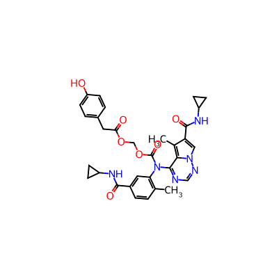 Cc1ccc(C(=O)NC2CC2)cc1N(C(=O)OCOC(=O)Cc1ccc(O)cc1)c1ncnn2cc(C(=O)NC3CC3)c(C)c12